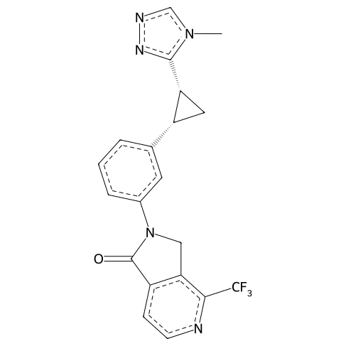 Cn1cnnc1[C@@H]1C[C@@H]1c1cccc(N2Cc3c(ccnc3C(F)(F)F)C2=O)c1